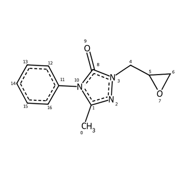 Cc1nn(CC2CO2)c(=O)n1-c1ccccc1